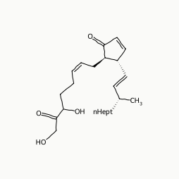 CCCCCCC[C@@H](C)/C=C/[C@H]1C=CC(=O)[C@@H]1C/C=C\CCC(O)C(=O)CO